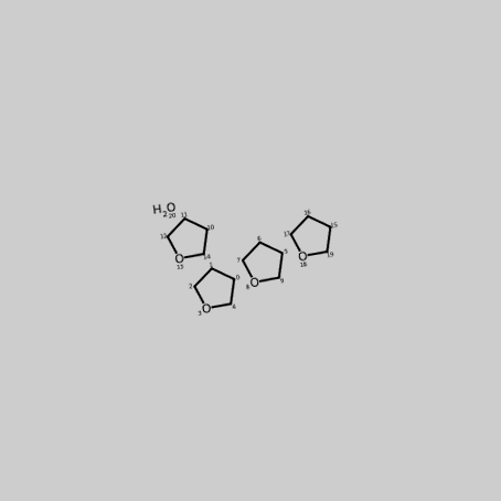 C1CCOC1.C1CCOC1.C1CCOC1.C1CCOC1.O